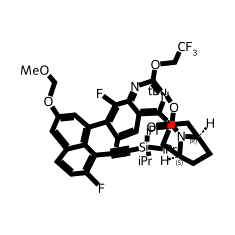 COCOc1cc(-c2c(C(C)=O)cc3c(N4C[C@H]5CC[C@@H](C4)N5C(=O)OC(C)(C)C)nc(OCC(F)(F)F)nc3c2F)c2c(C#C[Si](C(C)C)(C(C)C)C(C)C)c(F)ccc2c1